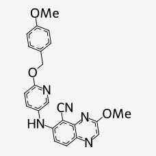 COc1ccc(COc2ccc(Nc3ccc4ncc(OC)nc4c3C#N)cn2)cc1